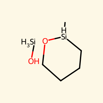 C[SiH]1CCCCO1.O[SiH3]